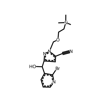 C[Si](C)(C)CCOCn1nc(C(O)c2cccnc2Br)cc1C#N